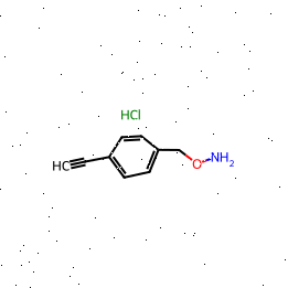 C#Cc1ccc(CON)cc1.Cl